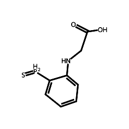 O=C(O)CNc1ccccc1[PH2]=S